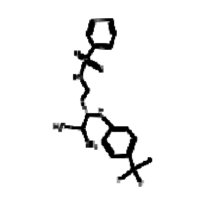 CC(C)[C@H](CCNS(=O)(=O)c1ccccc1)Nc1ccc(C(F)(F)F)cc1